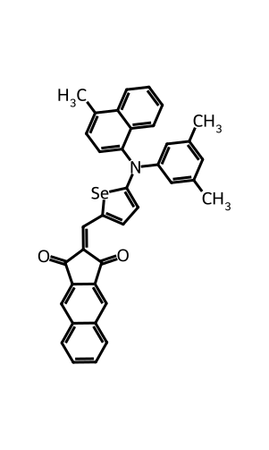 Cc1cc(C)cc(N(c2ccc(C=C3C(=O)c4cc5ccccc5cc4C3=O)[se]2)c2ccc(C)c3ccccc23)c1